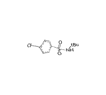 [CH2]C(C)(C)NS(=O)(=O)c1ccc(Cl)cc1